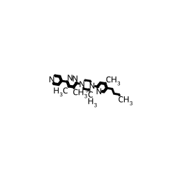 CCCCc1cnc(N2CCN(c3nnc(-c4ccncc4)c(C)c3C)C[C@H]2C)cc1C